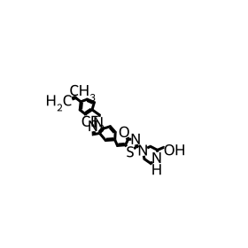 C=C(C)c1ccc(Cn2ncc3cc(/C=C4/SC(N5CCNC(CO)C5)=NC4=O)ccc32)c(C(F)(F)F)c1